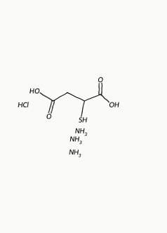 Cl.N.N.N.O=C(O)CC(S)C(=O)O